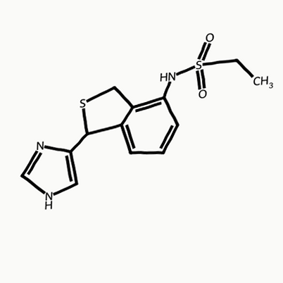 CCS(=O)(=O)Nc1cccc2c1CSC2c1c[nH]cn1